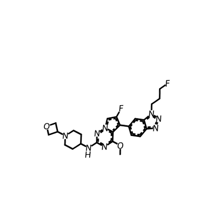 COc1nc(NC2CCN(C3COC3)CC2)nn2cc(F)c(-c3ccc4nnn(CCCF)c4c3)c12